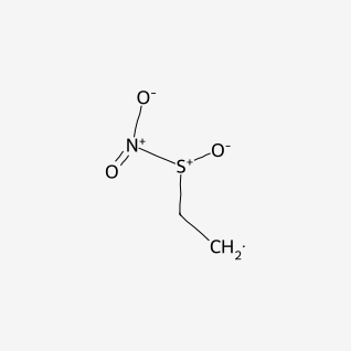 [CH2]C[S+]([O-])[N+](=O)[O-]